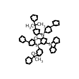 CC(C)(c1ccccc1)c1cccc(N(c2ccc(-c3ccccc3)cc2)c2cc(-n3c4ccccc4c4ccccc43)cc(N(c3ccc(-c4ccccc4)cc3)c3cccc(C(C)(C)c4ccccc4)c3)c2Cl)c1